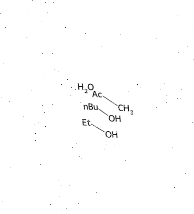 CC(C)=O.CCCCO.CCO.O